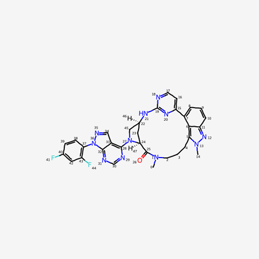 CN1CCCc2c3c(cccc3nn2C)-c2ccnc(n2)N[C@H]2C[C@@H](C1=O)N(c1ncnc3c1cnn3-c1ccc(F)cc1F)C2